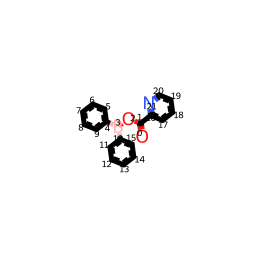 O=C(OB(c1ccccc1)c1ccccc1)c1ccccn1